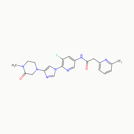 CN1CCN(c2cn(-c3ncc(NC(=O)Cc4cccc(C(F)(F)F)n4)cc3F)cn2)CC1=O